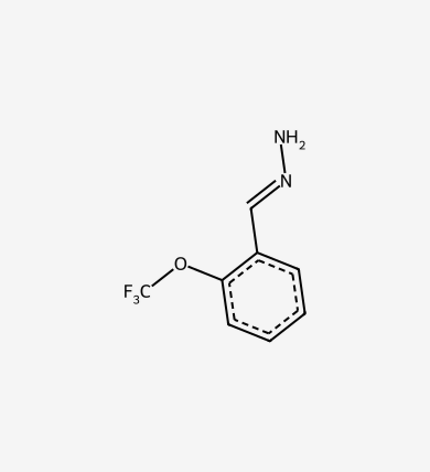 NN=Cc1ccccc1OC(F)(F)F